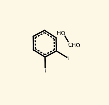 Ic1ccccc1I.O=CO